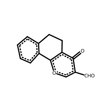 O=Cc1coc2c(c1=O)CCc1ccccc1-2